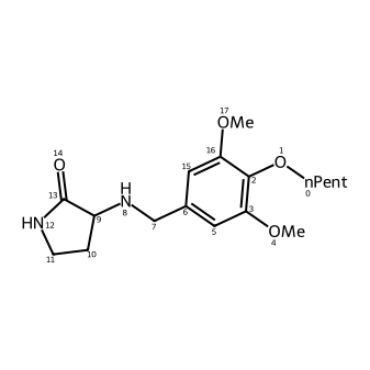 CCCCCOc1c(OC)cc(CNC2CCNC2=O)cc1OC